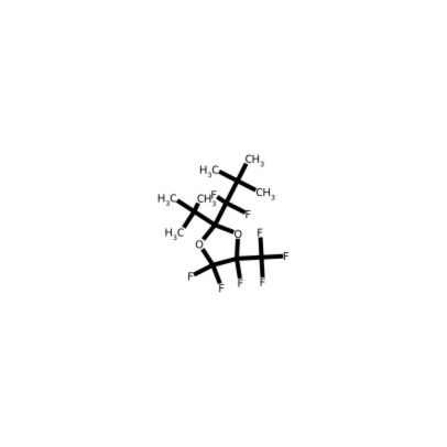 CC(C)(C)C(F)(F)C1(C(C)(C)C)OC(F)(F)C(F)(C(F)(F)F)O1